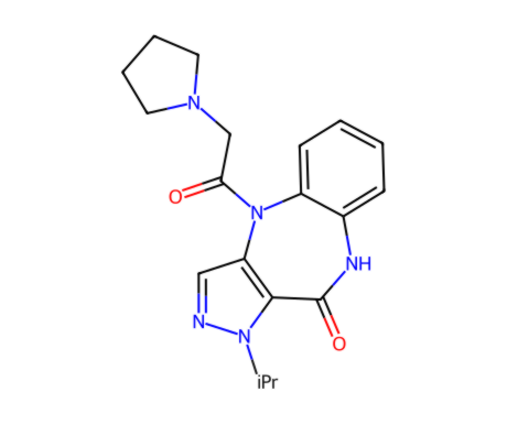 CC(C)n1ncc2c1C(=O)Nc1ccccc1N2C(=O)CN1CCCC1